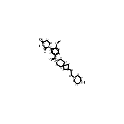 COc1ccc(C(=O)N2CCC3(CC2)CC(CCN2CCNCC2)C3)cc1N1CCC(=O)NC1=O